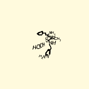 C[C@H](NC(=O)[C@H](N)CCc1ccccc1)C(=O)NCCc1ccc(N)nc1.Cl.Cl